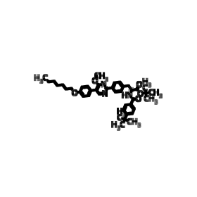 CCCCCCCOc1ccc(-c2cnc(-c3ccc(C[C@H](NC(=O)c4ccc(C(C)(C)C)cc4)C(=O)OC(C)(C)C)cc3)nc2OC)cc1